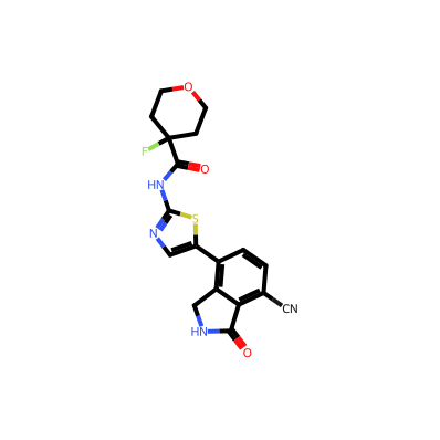 N#Cc1ccc(-c2cnc(NC(=O)C3(F)CCOCC3)s2)c2c1C(=O)NC2